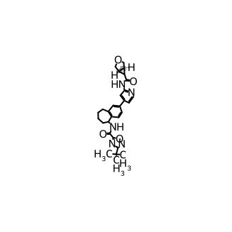 CC(C)(C)c1noc(C(=O)NC2CCCCc3cc(-c4ccnc(NC(=O)C5[C@H]6COC[C@@H]56)c4)ccc32)n1